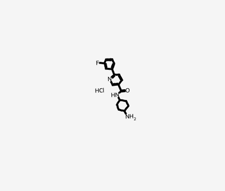 Cl.NC1CCC(NC(=O)c2ccc(-c3cccc(F)c3)nc2)CC1